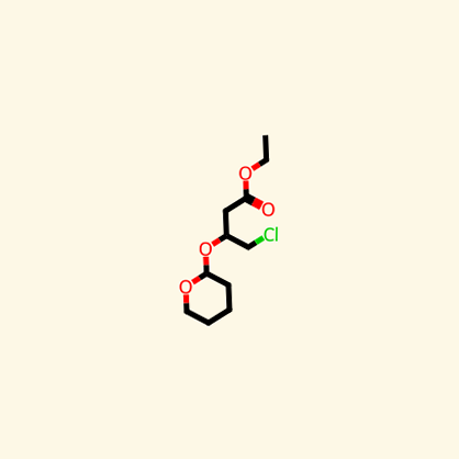 CCOC(=O)CC(CCl)OC1CCCCO1